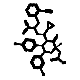 C[C@]1(CC(=O)O)C[C@@H](c2cccc(Cl)c2)[C@@H](c2ccc(Cl)cc2)N([C@H](CN(Cc2ccccc2C#N)[SH](=O)=O)C2CC2)C1=O